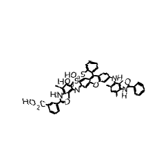 Cc1cc(C)c(NC(=O)c2cccc(C(=O)O)c2)c(C)c1/N=c1/cc2oc3cc(Nc4c(C)cc(C)c(NC(=O)c5ccccc5)c4C)ccc3c(-c3ccccc3S(=O)(=O)O)c-2cc1S(=O)(=O)O